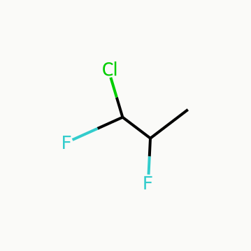 CC(F)C(F)Cl